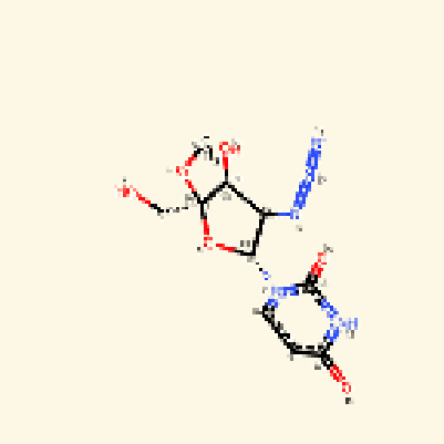 CO[C@]1(CO)O[C@@H](n2ccc(=O)[nH]c2=O)C(N=[N+]=[N-])[C@@H]1O